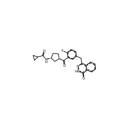 O=C(N[C@H]1CCN(C(=O)c2cc(Cc3n[nH]c(=O)c4ccccc34)ccc2F)C1)C1CC1